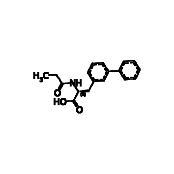 CCC(=O)N[C@@H](Cc1cccc(-c2ccccc2)c1)C(=O)O